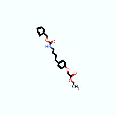 CCOC(=O)COc1ccc(CCCCNC(=O)OCc2ccccc2)cc1